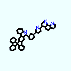 c1ccc(C2(c3ccccc3)c3ccccc3-c3cc4c(-c5cccc(-c6ccc(-c7ccnc8c7ccc7cccnc78)nc6)c5)nc5ccccc5c4cc32)cc1